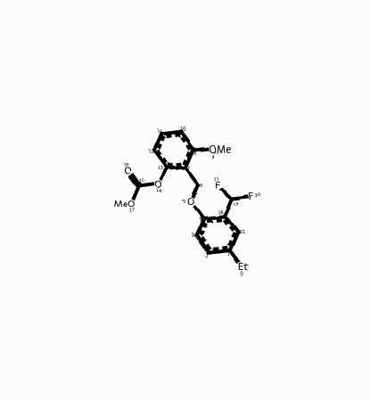 CCc1ccc(OCc2c(OC)cccc2OC(=O)OC)c(C(F)F)c1